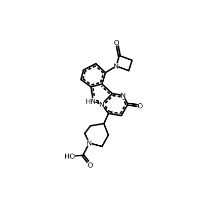 O=C(O)N1CCC(c2cc(=O)nc3c4c(N5CCC5=O)cccc4[nH]n23)CC1